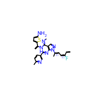 C=C/C(F)=C\C=C(/C)n1ncc(/C(=N\C)NC(=C)c2ccc(N)s2)c1/N=C/c1ccc(C)nc1